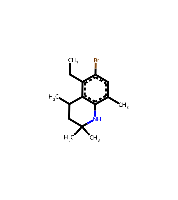 CCc1c(Br)cc(C)c2c1C(C)CC(C)(C)N2